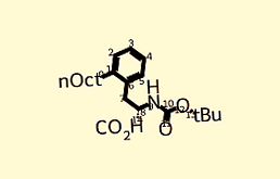 CCCCCCCCc1ccccc1C[C@H](NC(=O)OC(C)(C)C)C(=O)O